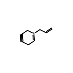 C=CC[Si]1=CCC#CC1